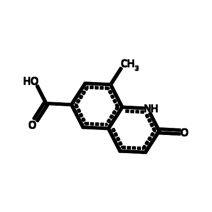 Cc1cc(C(=O)O)cc2ccc(=O)[nH]c12